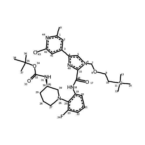 Cc1cc(-c2cn(COCC[Si](C)(C)C)c(C(=O)Nc3cccc(F)c3N3CCC[C@@H](NC(=O)OC(C)(C)C)C3)n2)cc(Cl)n1